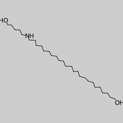 OCCCCCCCCCCCCCCCCCCCCCCCCNCCCCCO